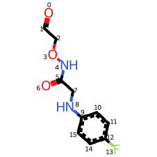 O=CCONC(=O)CNc1ccc(F)cc1